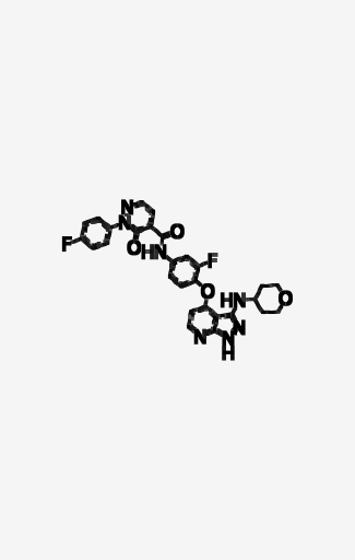 O=C(Nc1ccc(Oc2ccnc3[nH]nc(NC4CCOCC4)c23)c(F)c1)c1ccnn(-c2ccc(F)cc2)c1=O